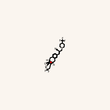 N#C/C(=C\c1ccc2c(c1)C[C@H]1CC[C@@H](C2)[C@]12CN(CC(F)(F)F)S(=O)(=O)N2)CN1CCC(C(F)(F)F)CC1